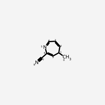 CC1C=CC=NC(C#N)=C1